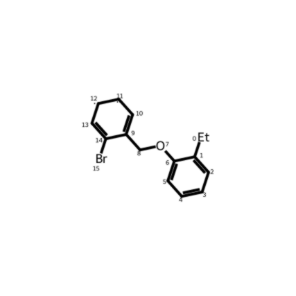 CCc1ccccc1OCC1=C[C][CH]C=C1Br